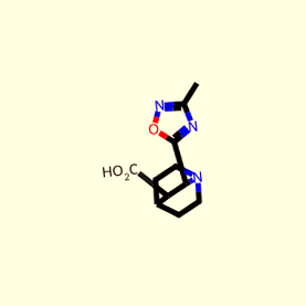 Cc1noc(C2C(C(=O)O)C3CCN2CC3)n1